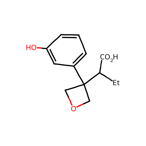 CCC(C(=O)O)C1(c2cccc(O)c2)COC1